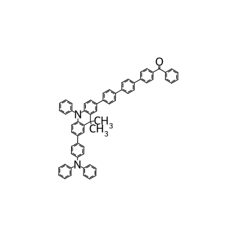 CC1(C)c2cc(-c3ccc(-c4ccc(-c5ccc(C(=O)c6ccccc6)cc5)cc4)cc3)ccc2N(c2ccccc2)c2ccc(-c3ccc(N(c4ccccc4)c4ccccc4)cc3)cc21